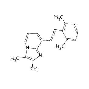 Cc1cccc(C)c1/C=C/c1cccn2c(C)c(C)nc12